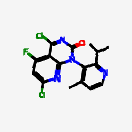 Cc1ccnc(C(C)C)c1-n1c(=O)nc(Cl)c2c(F)cc(Cl)nc21